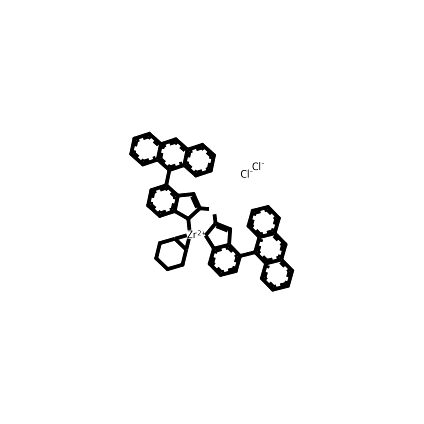 CC1=Cc2c(-c3c4ccccc4cc4ccccc34)cccc2[CH]1[Zr+2]1([CH]2C(C)=Cc3c(-c4c5ccccc5cc5ccccc45)cccc32)[CH]2CCCC[CH]21.[Cl-].[Cl-]